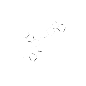 Cc1cc(C)cc(C(=O)N(C)CC(CCN2CCC3(CC2)CNc2ccccc23)c2ccc(Cl)c(Cl)c2)c1